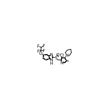 Cc1cnc(C[S+]([O-])c2nc3cc(OC(F)(F)C(F)F)ccc3[nH]2)c(Cl)c1N1CCCCC1